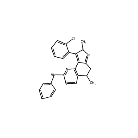 CC1Cc2nn(C)c(-c3ccccc3Cl)c2-c2nc(Nc3ccccc3)ncc21